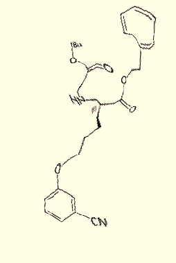 CC(C)(C)OC(=O)N[C@H](CCCOc1cccc(C#N)c1)C(=O)OCc1ccccc1